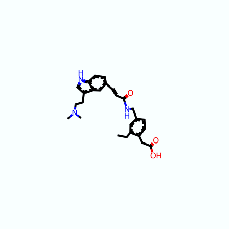 CCc1cc(CNC(=O)C=Cc2ccc3[nH]cc(CCN(C)C)c3c2)ccc1CC(=O)O